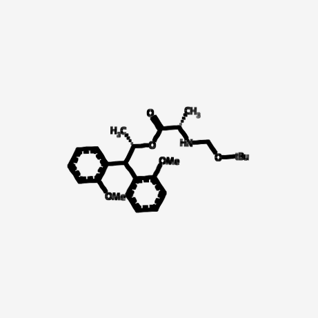 COc1ccccc1C(c1ccccc1OC)[C@H](C)OC(=O)[C@H](C)NCOC(C)(C)C